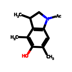 CC(=O)N1CC(C)c2c1cc(C)c(O)c2C